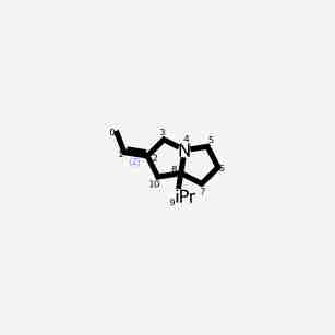 C/C=C1\CN2CCCC2(C(C)C)C1